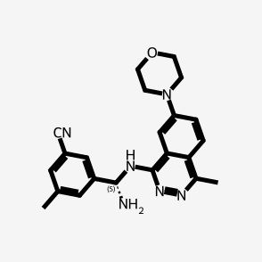 Cc1cc(C#N)cc([C@@H](N)Nc2nnc(C)c3ccc(N4CCOCC4)cc23)c1